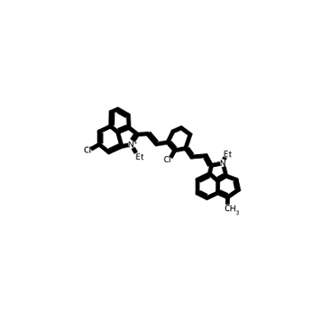 CCn1/c(=C/C=C2\CCCC(/C=C/C3=[N+](CC)c4cc(Cl)cc5cccc3c45)=C2Cl)c2cccc3c(C)ccc1c32